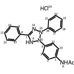 CC(=O)Nc1ccc(N2NC(c3ccccc3)=NN2c2ccccc2)cc1.Cl